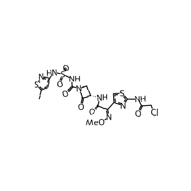 CO/N=C(\C(=O)N[C@H]1CN(C(=O)NS(=O)(=O)Nc2cc(C)sn2)C1=O)c1csc(NC(=O)CCl)n1